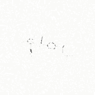 C/C=C(\Cn1ccc(N)c1C#N)c1ccc(C(=O)OC(C)(C)C)cc1